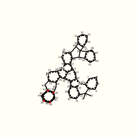 CC1(C)c2ccccc2-n2c3cc4c5c6c(ncc5n5c7cnc8c(c7c(c3c3cccc1c32)c45)C1c2ccccc2C8c2ccccc21)C1c2ccccc2C12c1ccccc1C62